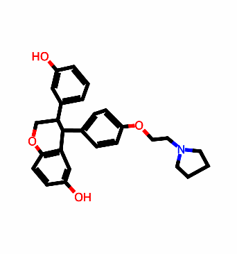 Oc1cccc(C2COc3ccc(O)cc3C2c2ccc(OCCN3CCCC3)cc2)c1